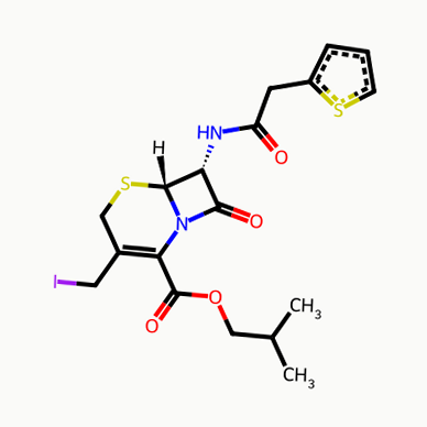 CC(C)COC(=O)C1=C(CI)CS[C@@H]2[C@H](NC(=O)Cc3cccs3)C(=O)N12